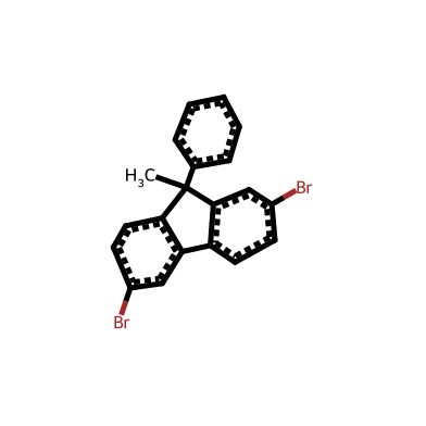 CC1(c2ccccc2)c2ccc(Br)cc2-c2ccc(Br)cc21